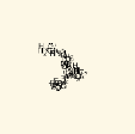 CCC(CC)CNC(=O)Cn1cccc(NC(=O)C(CCC=CC(=O)OC(=O)C(F)(F)F)NC(=O)c2ccccc2N)c1=O